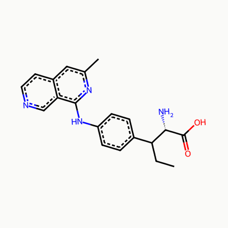 CCC(c1ccc(Nc2nc(C)cc3ccncc23)cc1)[C@H](N)C(=O)O